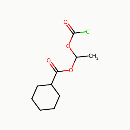 CC(OC(=O)Cl)OC(=O)C1CCCCC1